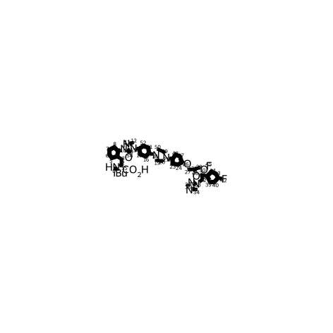 CCC(C)N[C@@H](Cc1ccccc1-n1ncn(-c2ccc(N3CCN(c4ccc(OCC5COC(Cn6cncn6)(c6ccc(F)cc6F)O5)cc4)CC3)cc2)c1=O)C(=O)O